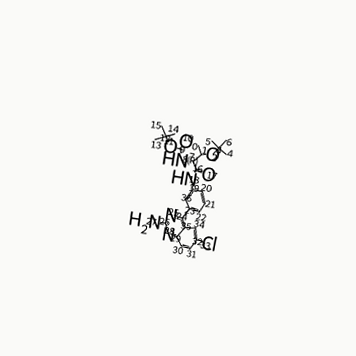 CC(OC(C)(C)C)[C@@H](NC(=O)OC(C)(C)C)C(=O)Nc1cccc(-c2nc(N)nc3ccc(Cl)cc23)c1